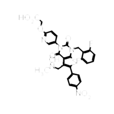 CN(C)Cc1c(-c2ccc([N+](=O)[O-])cc2)sc2c1c(=O)n(-c1ccc(OCC(=O)O)nc1)c(=O)n2Cc1c(F)cccc1F